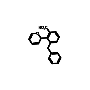 O=C(O)c1cccc(Cc2ccccc2)c1C1C=CC=CO1